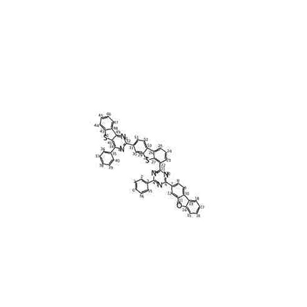 c1ccc(-c2nc(-c3ccc4c(c3)oc3ccccc34)nc(-c3cccc4c3sc3cc(-c5nc(-c6ccccc6)c6sc7ccccc7c6n5)ccc34)n2)cc1